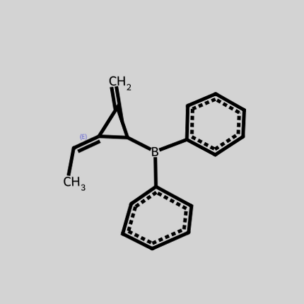 C=C1/C(=C/C)C1B(c1ccccc1)c1ccccc1